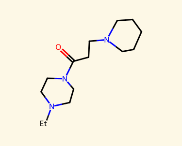 CCN1CCN(C(=O)CCN2CCCCC2)CC1